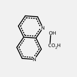 O=C(O)O.c1cnc2cnccc2c1